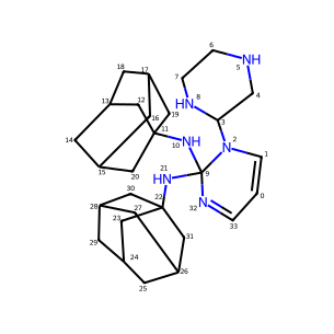 C1=CN(C2CNCCN2)C(NC23CC4CC(CC(C4)C2)C3)(NC23CC4CC(CC(C4)C2)C3)N=C1